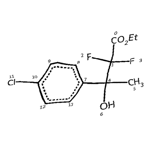 CCOC(=O)C(F)(F)C(C)(O)c1ccc(Cl)cc1